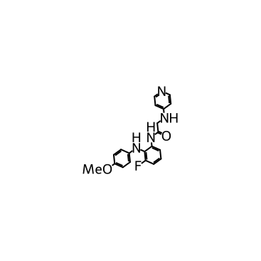 COc1ccc(Nc2c(F)cccc2NC(=O)CNc2ccncc2)cc1